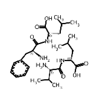 CC(C)C[C@H](NC(=O)[C@@H](N)C(C)C)C(=O)O.CC(C)C[C@H](NC(=O)[C@@H](N)Cc1ccccc1)C(=O)O